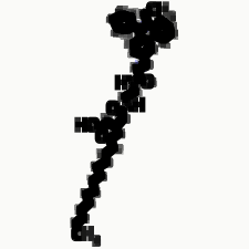 CCCCCCCCCCCCCCCC(CC(=O)O)CC(=O)NCCNC(=O)/C=C/c1ccc(/C(=C(/CC)c2ccccc2)c2ccccc2)cc1